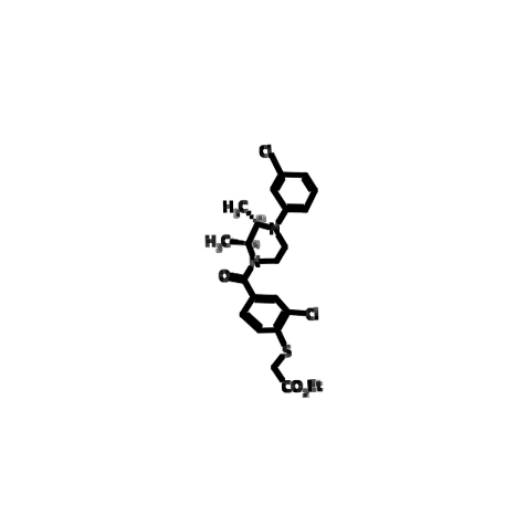 CCOC(=O)CSc1ccc(C(=O)N2CCN(c3cccc(Cl)c3)[C@@H](C)[C@@H]2C)cc1Cl